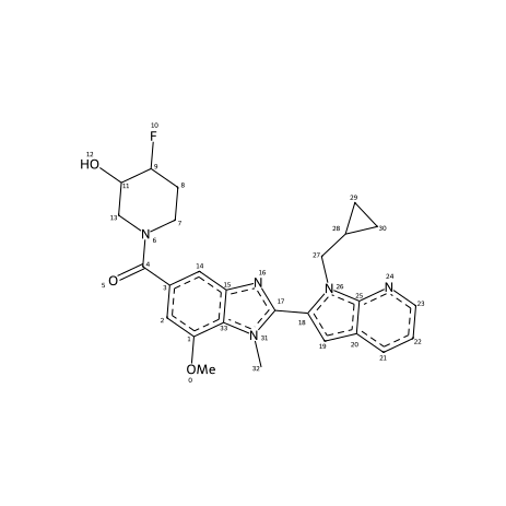 COc1cc(C(=O)N2CCC(F)C(O)C2)cc2nc(-c3cc4cccnc4n3CC3CC3)n(C)c12